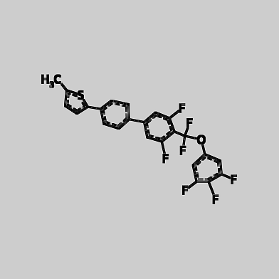 Cc1ccc(-c2ccc(-c3cc(F)c(C(F)(F)Oc4cc(F)c(F)c(F)c4)c(F)c3)cc2)s1